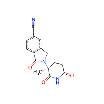 C[C@]1(N2Cc3cc(C#N)ccc3C2=O)CCC(=O)NC1=O